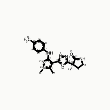 Cc1c(-c2nnc([C@]3(C)CCNC3=O)o2)c(Nc2ccc(C(F)(F)F)cc2)nn1C